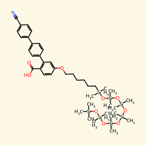 C[Si](C)(C)O[Si](C)(C)O[Si](C)(C)O[Si](C)(C)O[Si](C)(C)O[Si](C)(C)O[Si](C)(C)CCCCCCOc1ccc(C(=O)O)c(-c2ccc(-c3ccc(C#N)cc3)cc2)c1